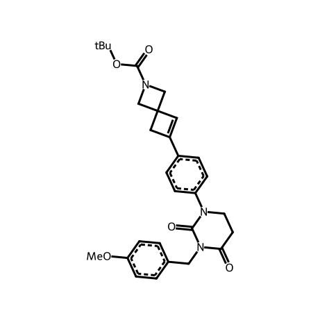 COc1ccc(CN2C(=O)CCN(c3ccc(C4=CC5(C4)CN(C(=O)OC(C)(C)C)C5)cc3)C2=O)cc1